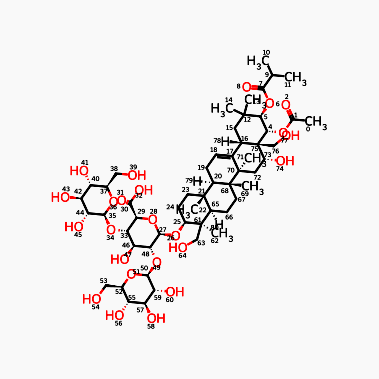 CC(=O)O[C@H]1[C@H](OC(=O)C(C)C)C(C)(C)C[C@H]2C3=CC[C@@H]4[C@@]5(C)CC[C@H](O[C@@H]6O[C@H](C(=O)O)[C@@H](O[C@@H]7O[C@H](CO)[C@@H](O)[C@H](O)[C@H]7O)[C@H](O)[C@H]6O[C@@H]6O[C@H](CO)[C@@H](O)[C@H](O)[C@H]6O)[C@](C)(CO)[C@@H]5CC[C@@]4(C)[C@]3(C)C[C@@H](O)[C@]21CO